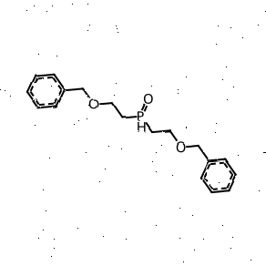 O=[PH](CCOCc1ccccc1)CCOCc1ccccc1